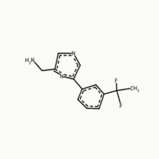 CC(F)(F)c1cccc(-c2cncc(CN)n2)c1